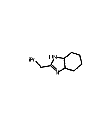 CC(C)CC1=NC2CCCCC2N1